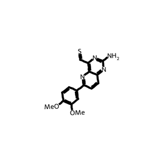 COc1ccc(-c2ccc3nc(N)nc(C=S)c3n2)cc1OC